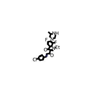 CCn1cc(C(=O)/C=C/c2ccc(Cl)cc2)c(=O)c2cc(F)c(N3CCNC(C)C3)c(F)c21